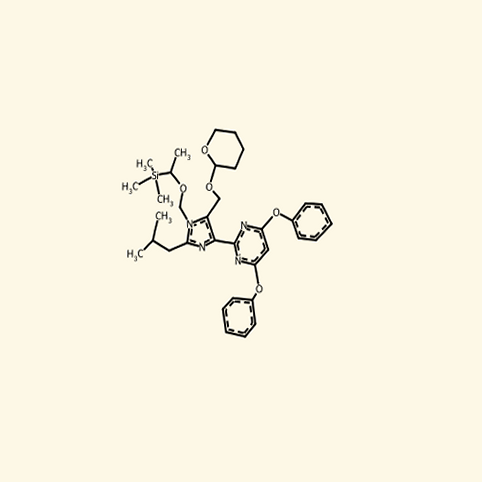 CC(C)Cc1nc(-c2nc(Oc3ccccc3)cc(Oc3ccccc3)n2)c(COC2CCCCO2)n1COC(C)[Si](C)(C)C